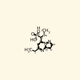 CCc1cc(C(SC)P(=O)(O)O)n2nccc2n1